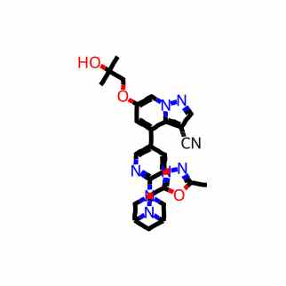 Cc1nnc(CN2C3CC2CN(c2ccc(-c4cc(OCC(C)(C)O)cn5ncc(C#N)c45)cn2)C3)o1